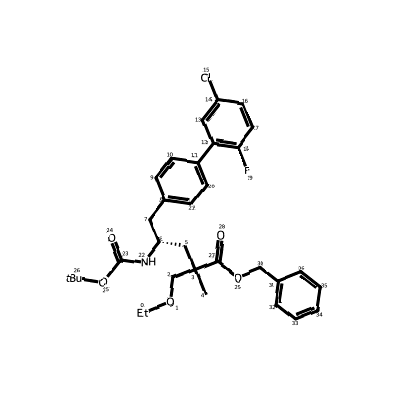 CCOCC(C)(C[C@@H](Cc1ccc(-c2cc(Cl)ccc2F)cc1)NC(=O)OC(C)(C)C)C(=O)OCc1ccccc1